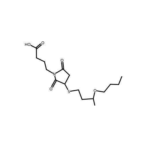 CCCCOC(C)CCSC1CC(=O)N(CCCC(=O)O)C1=O